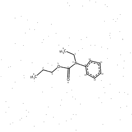 [CH2]CN(C(=O)OCCC)c1ccccc1